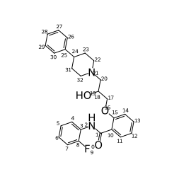 O=C(Nc1ccccc1F)c1ccccc1OCC(O)CN1CCC(c2ccccc2)CC1